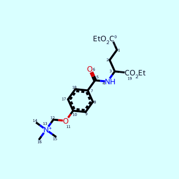 CCOC(=O)CCC(NC(=O)c1ccc(OC[N+](C)(C)C)cc1)C(=O)OCC